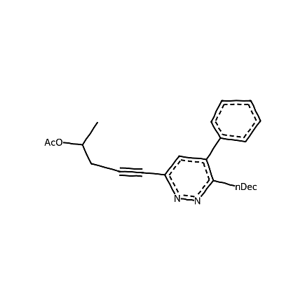 CCCCCCCCCCc1nnc(C#CCC(C)OC(C)=O)cc1-c1ccccc1